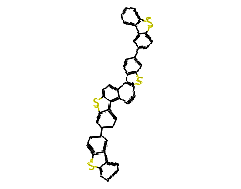 c1ccc2c(c1)sc1ccc(-c3ccc4c(c3)sc3ccc5c(ccc6sc7cc(-c8ccc9sc%10ccccc%10c9c8)ccc7c65)c34)cc12